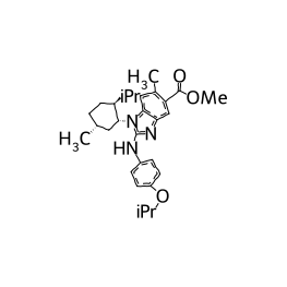 COC(=O)c1cc2nc(Nc3ccc(OC(C)C)cc3)n([C@@H]3C[C@H](C)CC[C@H]3C(C)C)c2cc1C